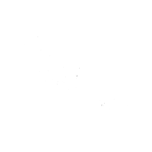 O=C(CCCCC[C@H](NS(=O)(=O)c1ccc(-c2ccccc2)cc1)C(=O)NO)Nc1ccccc1